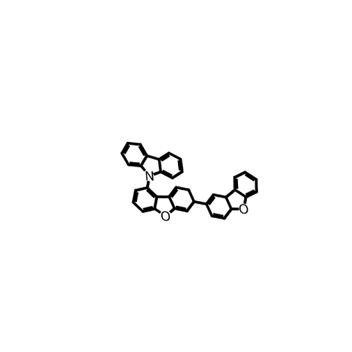 C1=CC2Oc3ccccc3C2C=C1C1C=c2oc3cccc(-n4c5ccccc5c5ccccc54)c3c2=CC1